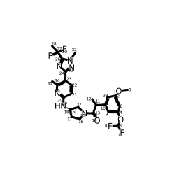 COc1cc(OC(F)F)cc(C(C)C(=O)N2CC[C@H](Nc3ccc(-c4nc(C(C)(F)F)n(C)n4)c(C)n3)C2)c1